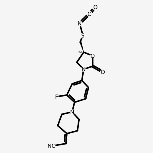 N#CC=C1CCN(c2ccc(N3C[C@@H](CSN=C=O)OC3=O)cc2F)CC1